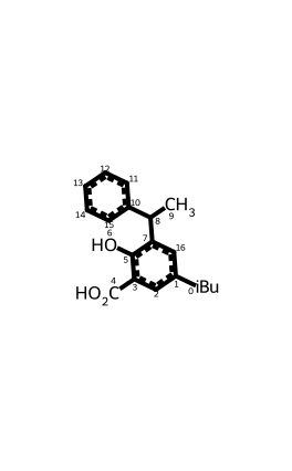 CCC(C)c1cc(C(=O)O)c(O)c(C(C)c2ccccc2)c1